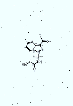 CC(C)(C)OC(=O)NC(C)(C)c1nc(C(=O)F)c2ccccn12